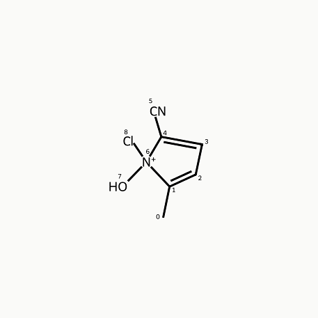 CC1=CC=C(C#N)[N+]1(O)Cl